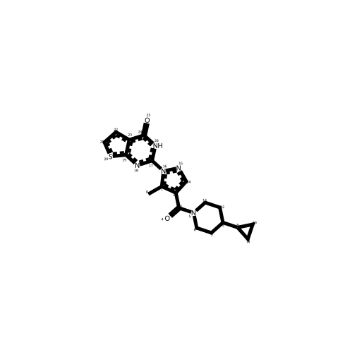 Cc1c(C(=O)N2CCC(C3CC3)CC2)cnn1-c1nc2sccc2c(=O)[nH]1